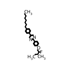 CCCCCCCCc1ccc(-c2cnc(-c3ccc(OCC(F)C(C)CC)cc3)nc2)cc1